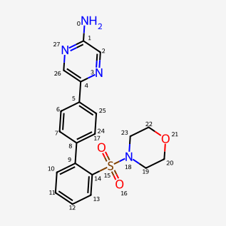 Nc1cnc(-c2ccc(-c3ccccc3S(=O)(=O)N3CCOCC3)cc2)cn1